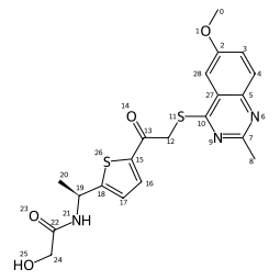 COc1ccc2nc(C)nc(SCC(=O)c3ccc([C@H](C)NC(=O)CO)s3)c2c1